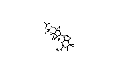 CC(C)OP1(=O)OC[C@H]2O[C@@H](n3cnc4c(=O)[nH]c(N)nc43)[C@@](F)(Cl)[C@@H]2O1